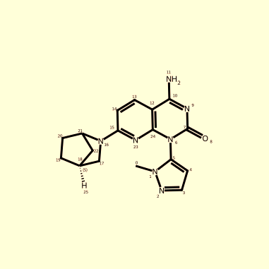 Cn1nccc1-n1c(=O)nc(N)c2ccc(N3C[C@H]4CCC3C4)nc21